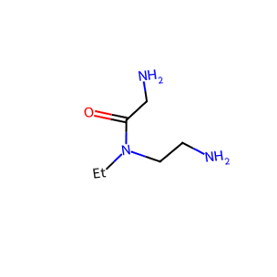 CCN(CCN)C(=O)CN